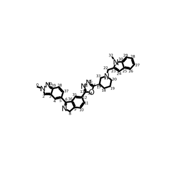 Cn1cc2cc(C3=NCc4ccc(-c5nnc([C@@H]6CCCN(Cc7cc8ccccc8n7C)C6)o5)cc43)ccc2n1